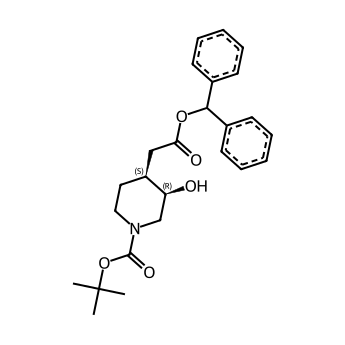 CC(C)(C)OC(=O)N1CC[C@@H](CC(=O)OC(c2ccccc2)c2ccccc2)[C@@H](O)C1